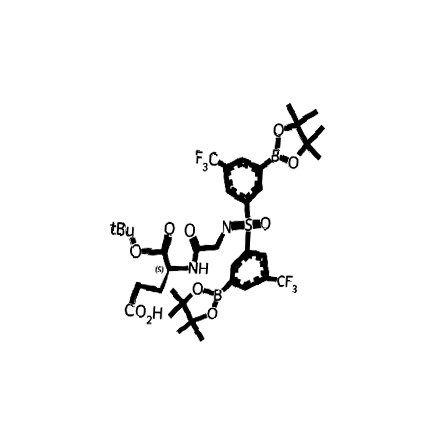 CC(C)(C)OC(=O)[C@H](CCC(=O)O)NC(=O)CN=S(=O)(c1cc(B2OC(C)(C)C(C)(C)O2)cc(C(F)(F)F)c1)c1cc(B2OC(C)(C)C(C)(C)O2)cc(C(F)(F)F)c1